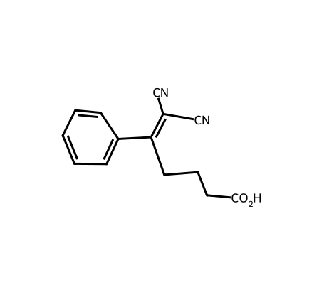 N#CC(C#N)=C(CCCC(=O)O)c1ccccc1